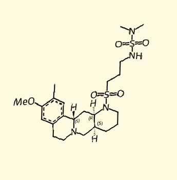 COc1cc2c(cc1C)[C@@H]1C[C@@H]3[C@@H](CCCN3S(=O)(=O)CCCNS(=O)(=O)N(C)C)CN1CC2